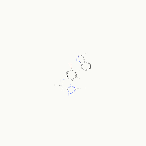 Cc1c(-c2cccc3c(C)c[nH]c23)c(OC(F)(F)F)cc2c1-n1c(C)nnc1C(C)(C)N2